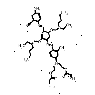 C=CC(=O)OCCN(CCOC(=O)CC)C1C=CC(/N=N/C2CC(OCC(CC)CCCC)C(/N=N/C3C=CC(N)CC3C#N)C=C2OCC(CC)CCCC)=C(C)C1